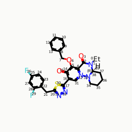 CCN1C(=O)c2c(OCc3ccccc3)c(=O)c(-c3nnc(Cc4ccc(F)cc4F)s3)cn2N2CCCC[C@H]12